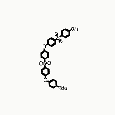 CC(C)(C)c1ccc(Oc2ccc(S(=O)(=O)c3ccc(Oc4ccc(S(=O)(=O)c5ccc(O)cc5)cc4)cc3)cc2)cc1